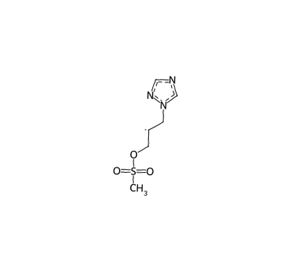 CS(=O)(=O)OC[CH]Cn1cncn1